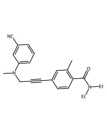 CCN(CC)C(=O)c1ccc(C#CCN(C)c2cccc(C#N)c2)cc1C